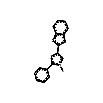 Cn1cc(-c2cc3ccccc3s2)nc1-c1ccccc1